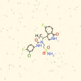 CC(c1c[nH]c(=O)c2ccc(F)cc12)N(CCS(N)(=O)=O)C(=O)Nc1ccc(F)c(Cl)c1